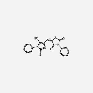 O=C1/C(=C\c2sc(=S)n(-c3ccccc3)c2O)SC(=S)N1c1ccccc1